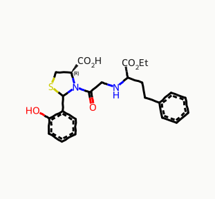 CCOC(=O)C(CCc1ccccc1)NCC(=O)N1C(c2ccccc2O)SC[C@H]1C(=O)O